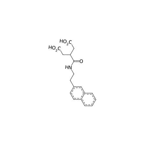 O=C(O)CC(CC(=O)O)C(=O)NCCc1ccc2ccccc2c1